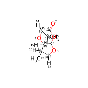 C[C@@H]1[C@@H]2OC3OC(=O)[C@H]1O[C@@H]3[C@H]2C